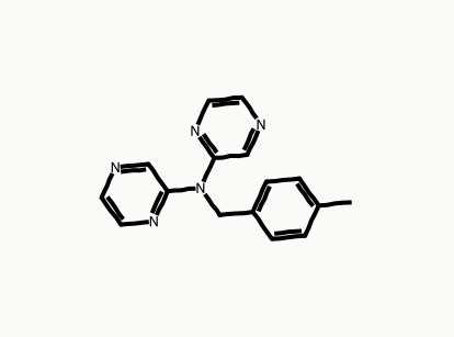 Cc1ccc(CN(c2cnccn2)c2cnccn2)cc1